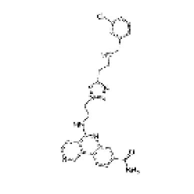 NC(=O)c1ccc2c(c1)nc(NCCn1cc(CCNCc3cccc(Cl)c3)nn1)c1ccncc12